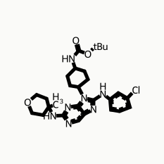 CC1(Nc2ncc3nc(Nc4cccc(Cl)c4)n(C4CCC(NC(=O)OC(C)(C)C)CC4)c3n2)CCOCC1